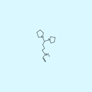 C=C[SiH2]CCCC(N1CCCC1)N1CCCC1